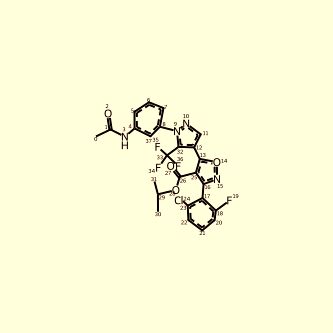 CC(=O)Nc1cccc(-n2ncc(-c3onc(-c4c(F)cccc4Cl)c3C(=O)OC(C)C)c2C(F)(F)F)c1